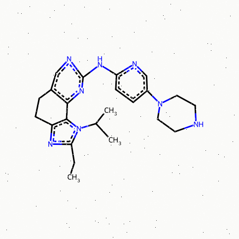 CCc1nc2c(n1C(C)C)-c1nc(Nc3ccc(N4CCNCC4)cn3)ncc1CC2